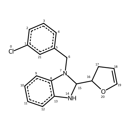 Clc1cccc(CN2c3ccccc3NC2C2CC=CO2)c1